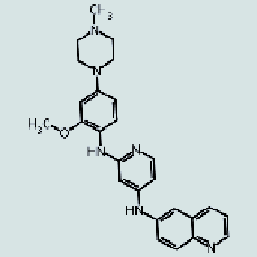 COc1cc(N2CCN(C)CC2)ccc1Nc1cc(Nc2ccc3ncccc3c2)ccn1